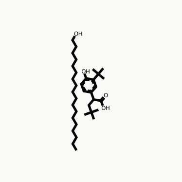 CC(C)(C)CC(C(=O)O)c1ccc(O)c(C(C)(C)C)c1.CCCCCCCCCCCCCCCCCCO